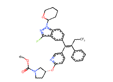 CC(C)(C)OC(=O)N1CC[C@@H](Oc2ccc(/C(=C(/CC(F)(F)F)c3ccccc3)c3ccc4c(c3)c(F)nn4C3CCCCO3)cn2)C1